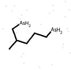 CC(C[AsH2])CCC[AsH2]